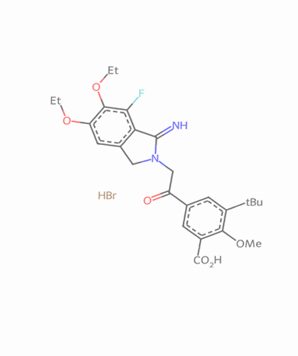 Br.CCOc1cc2c(c(F)c1OCC)C(=N)N(CC(=O)c1cc(C(=O)O)c(OC)c(C(C)(C)C)c1)C2